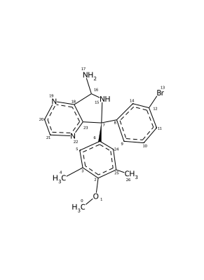 COc1c(C)cc([C@]2(c3cccc(Br)c3)NC(N)c3nccnc32)cc1C